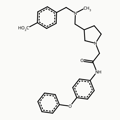 CN(Cc1ccc(C(=O)O)cc1)CC1CCN(CC(=O)Nc2ccc(Oc3ccccc3)cc2)C1